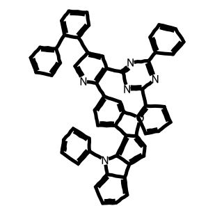 c1ccc(-c2nc(-c3ccccc3)nc(-c3cc(-c4ccccc4-c4ccccc4)cnc3-c3ccc4c(c3)oc3ccc5c6ccccc6n(-c6ccccc6)c5c34)n2)cc1